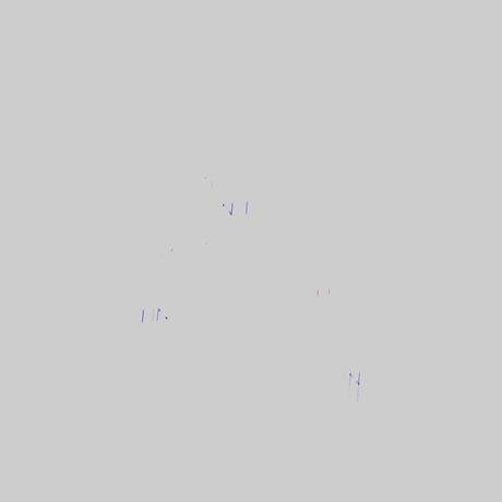 CC/C=C\SNC(=O)c1cc(OC2CCNC2)ccc1NC